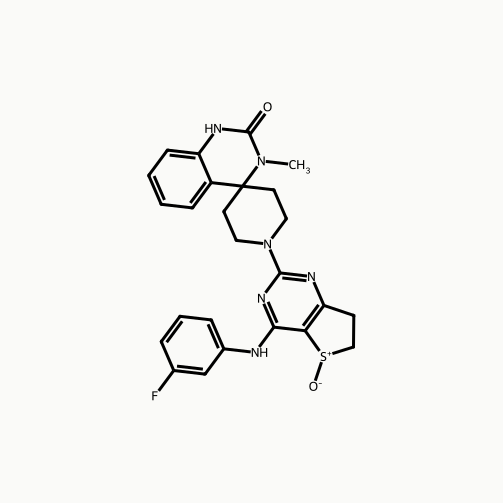 CN1C(=O)Nc2ccccc2C12CCN(c1nc3c(c(Nc4cccc(F)c4)n1)[S+]([O-])CC3)CC2